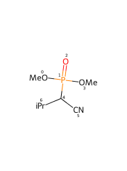 COP(=O)(OC)C(C#N)C(C)C